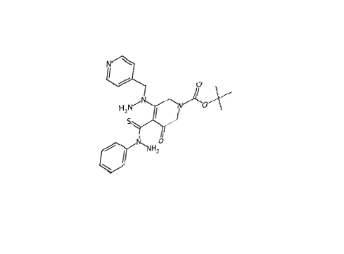 CC(C)(C)OC(=O)N1CC(=O)C(C(=S)N(N)c2ccccc2)=C(N(N)Cc2ccncc2)C1